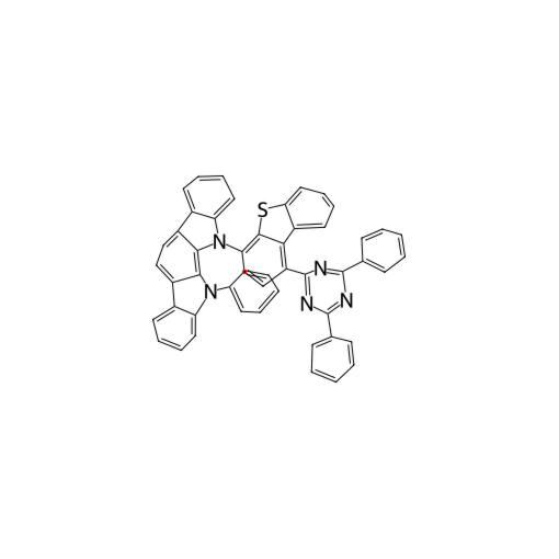 c1ccc(-c2nc(-c3ccccc3)nc(-c3ccc(-n4c5ccccc5c5ccc6c7ccccc7n(-c7ccccc7)c6c54)c4sc5ccccc5c34)n2)cc1